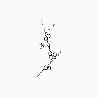 CCCCCCCOC(=O)CCCCC(CCCCCC)OC(=O)OCCCN(CCCOC(=O)CC(CCCCCCC)CCCCCCC)CCN(CC)CC